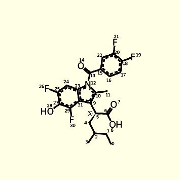 CCC(C)C[C@H](C(=O)O)c1c(C)n(C(=O)c2ccc(F)c(F)c2)c2cc(F)c(O)c(F)c12